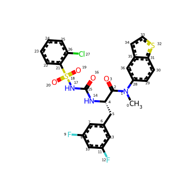 CN(C(=O)[C@H](Cc1cc(F)cc(F)c1)NC(=O)NS(=O)(=O)c1ccccc1Cl)c1ccc2sccc2c1